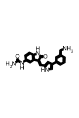 NCc1cccc(-c2c[nH]c(C=C3C(=O)Nc4ccc(NC(N)=O)cc43)c2)c1